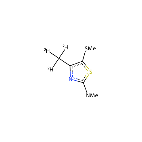 [2H]C([2H])([2H])c1nc(NC)sc1SC